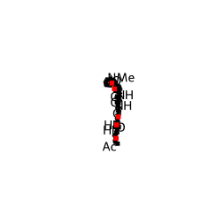 CNC1=C(C(=O)c2ccc(NC(=O)CC(=O)NCCOCCCNC(=O)NCCCCC(C)C(C)=O)cc2)CCCC1